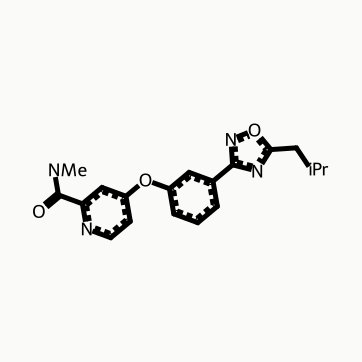 CNC(=O)c1cc(Oc2cccc(-c3noc(CC(C)C)n3)c2)ccn1